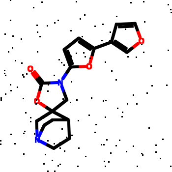 O=C1OC2(CN3CCC2CC3)CN1c1ccc(-c2ccoc2)o1